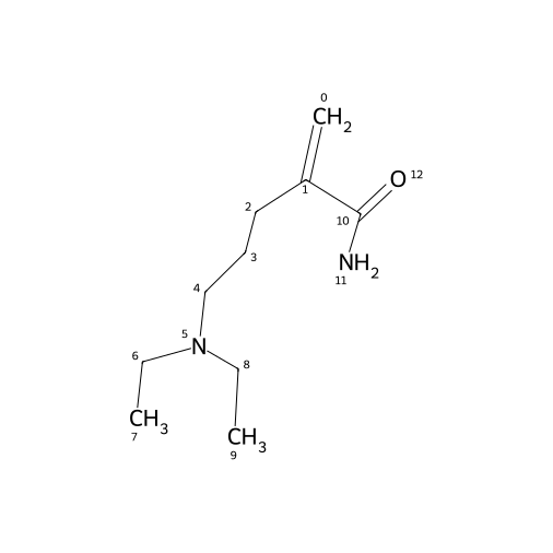 C=C(CCCN(CC)CC)C(N)=O